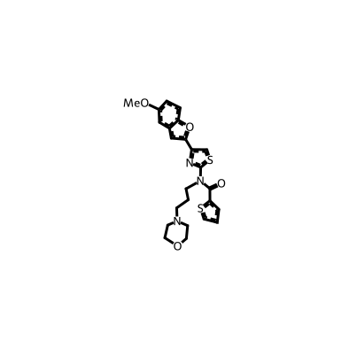 COc1ccc2oc(-c3csc(N(CCCN4CCOCC4)C(=O)c4cccs4)n3)cc2c1